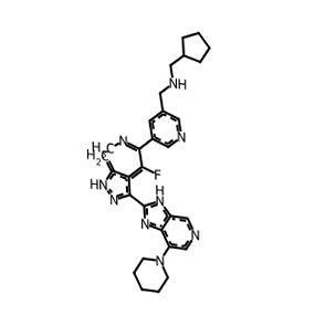 C=c1[nH]nc(-c2nc3c(N4CCCCC4)cncc3[nH]2)/c1=C(F)/C(=N\C)c1cncc(CNCC2CCCC2)c1